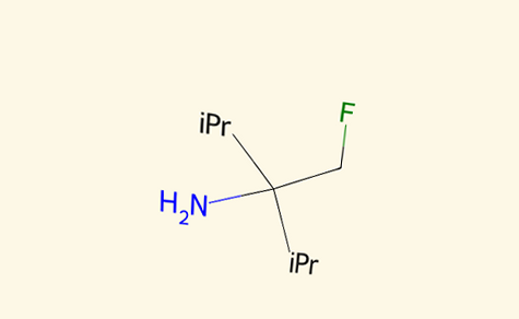 CC(C)C(N)(CF)C(C)C